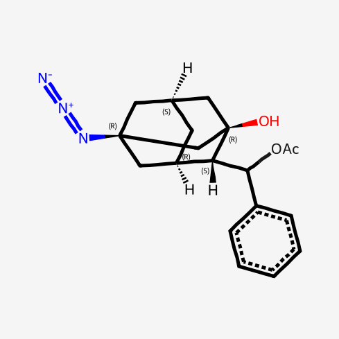 CC(=O)OC(c1ccccc1)[C@@H]1[C@@H]2C[C@H]3C[C@@](N=[N+]=[N-])(C2)C[C@]1(O)C3